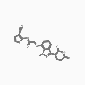 Cn1nc(C2CCC(=O)NC2=O)c2cccc(OCC(=O)Nc3sccc3C#N)c21